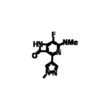 CNc1nc(-c2cnn(C)c2)c2c(c1F)NC2=O